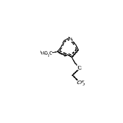 O=C(O)c1cncc(OCC(F)(F)F)c1